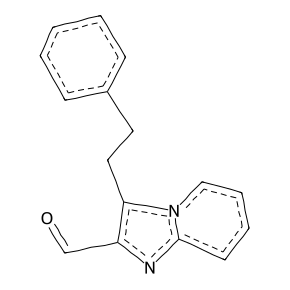 O=Cc1nc2ccccn2c1CCc1ccccc1